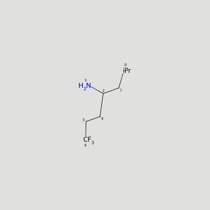 CC(C)CC(N)CCC(F)(F)F